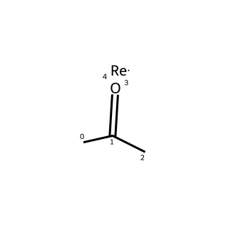 CC(C)=O.[Re]